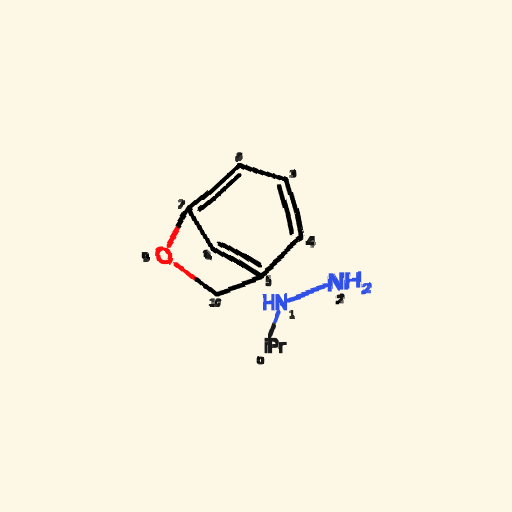 CC(C)NN.c1cc2cc(c1)OC2